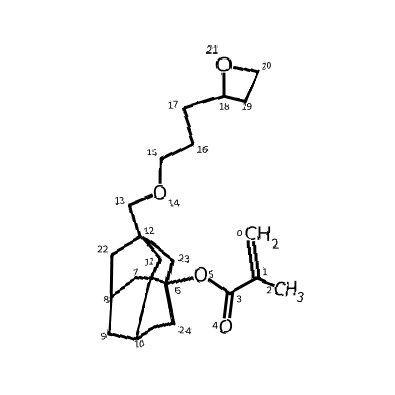 C=C(C)C(=O)OC12CC3CC(CC(COCCCC4CCO4)(C3)C1)C2